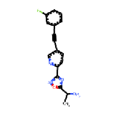 CC(N)c1nc(-c2ccc(C#Cc3cccc(F)c3)cn2)no1